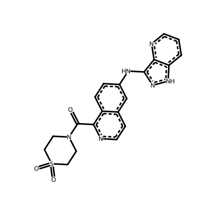 O=C(c1nccc2cc(Nc3n[nH]c4cccnc34)ccc12)N1CCS(=O)(=O)CC1